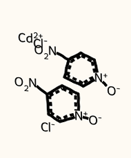 O=[N+]([O-])c1cc[n+]([O-])cc1.O=[N+]([O-])c1cc[n+]([O-])cc1.[Cd+2].[Cl-].[Cl-]